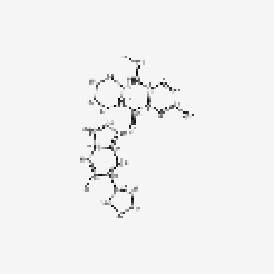 CSNc1ccc(Br)cc1C(=O)N1CCCCC1c1cc2nc(N3CCCC3)c(C)cn2n1